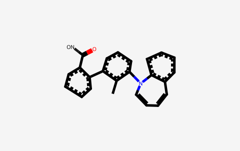 Cc1c(-c2ccccc2C(=O)N=O)cccc1N1C=CC=Cc2ccccc21